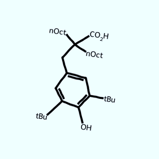 CCCCCCCCC(CCCCCCCC)(Cc1cc(C(C)(C)C)c(O)c(C(C)(C)C)c1)C(=O)O